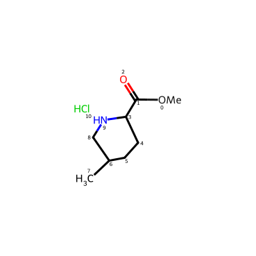 COC(=O)C1CCC(C)CN1.Cl